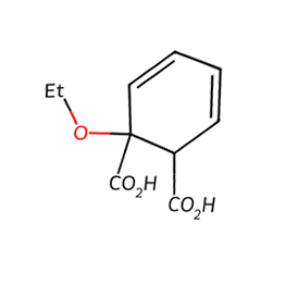 CCOC1(C(=O)O)C=CC=CC1C(=O)O